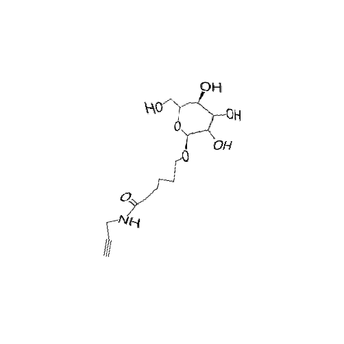 C#CCNC(=O)CCCCO[C@H]1OC(CO)[C@@H](O)C(O)C1O